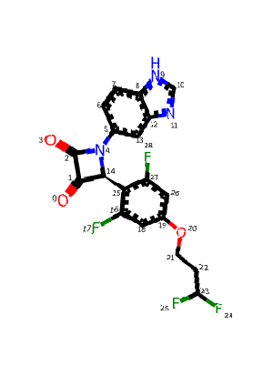 O=C1C(=O)N(c2ccc3[nH]cnc3c2)[C@H]1c1c(F)cc(OCCC(F)F)cc1F